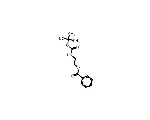 CC(C)(C)OC(=O)NCCOC(=O)c1ccccc1